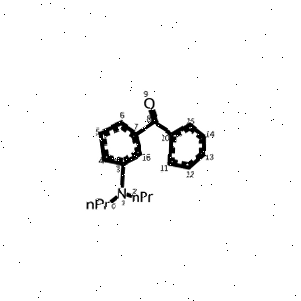 CCCN(CCC)c1cccc(C(=O)c2ccccc2)c1